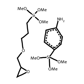 CO[Si](CCCOCC1CO1)(OC)OC.CO[Si](OC)(OC)c1ccc(N)cc1